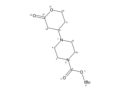 CC(C)(C)OC(=O)N1CCN(C2CCOC(=O)C2)CC1